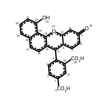 O=C(O)c1ccc(-c2c3ccc(=O)cc-3oc3c2ccc2cccc(O)c23)c(C(=O)O)c1